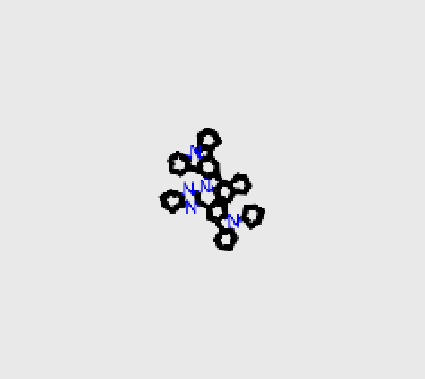 c1ccc(-n2c3ccccc3c3cc(-c4nc5ccccc5nc4-n4c5ccc6ccccc6c5c5cc6c7ccccc7n7c8ccccc8c(c54)c67)ccc32)cc1